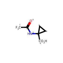 O=C(NC1(C(=O)O)CC1)C(F)(F)F